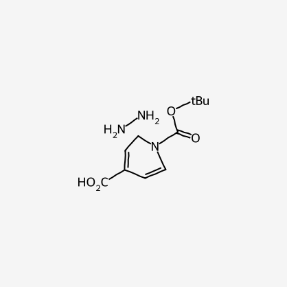 CC(C)(C)OC(=O)N1C=CC(C(=O)O)=CC1.NN